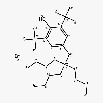 CCCC[P+](CCCC)(CCCC)Cc1cc(C(C)(C)C)c(O)c(C(C)(C)C)c1.[Br-]